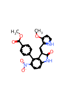 COC(=O)c1ccc(-c2c([N+](=O)[O-])ccc3c2C(=Cc2[nH]ccc2OC)C(=O)N3)cc1